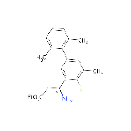 CCOC(=O)C[C@H](N)c1cc(-c2c(C)cccc2C)cc(C)c1F